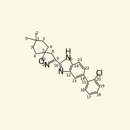 CC1(C)CCC2(CC1)CC(c1nc3cc(-c4ccccc4Cl)ccc3[nH]1)=NO2